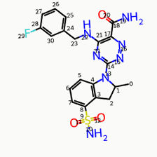 CC1Cc2c(cccc2S(N)(=O)=O)N1c1nnc(C(N)=O)c(NCc2cccc(F)c2)n1